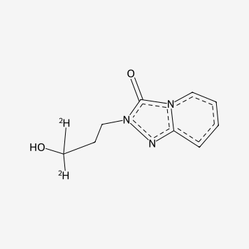 [2H]C([2H])(O)CCn1nc2ccccn2c1=O